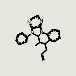 C=CCC1c2ccccc2N2c3nccnc3N(c3ccccc3)C2C1C